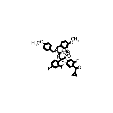 COc1ccc(CN(Cc2ccc(OC)cc2)C2=N[C@](C)(c3ccc(F)cc3F)[C@@H](c3ccc(C(=O)C4CC4)c(F)c3)S(=O)(=O)N2C)cc1